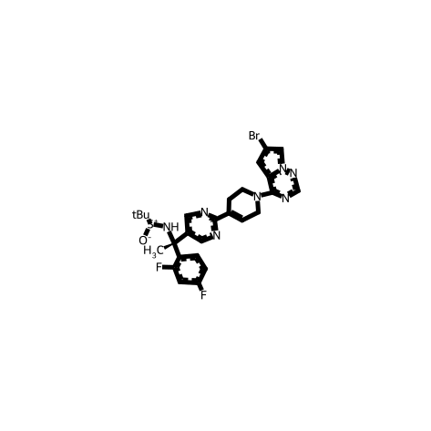 CC(C)(C)[S+]([O-])N[C@](C)(c1cnc(C2=CCN(c3ncnn4cc(Br)cc34)CC2)nc1)c1ccc(F)cc1F